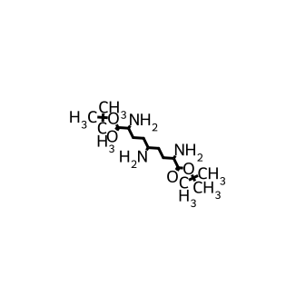 CC(C)(C)OC(=O)C(N)CCC(N)CCC(N)C(=O)OC(C)(C)C